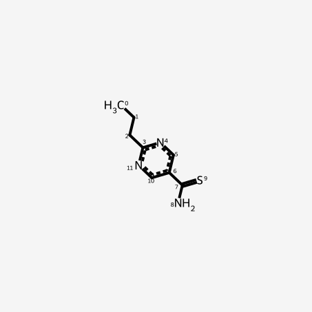 CCCc1ncc(C(N)=S)cn1